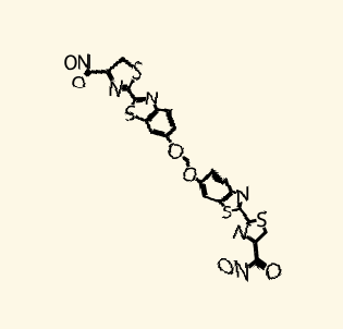 O=NC(=O)C1CSC(c2nc3ccc(OCOc4ccc5nc(C6=NC(C(=O)N=O)CS6)sc5c4)cc3s2)=N1